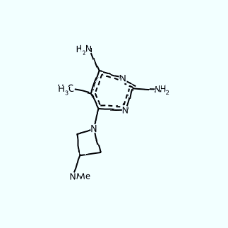 CNC1CN(c2nc(N)nc(N)c2C)C1